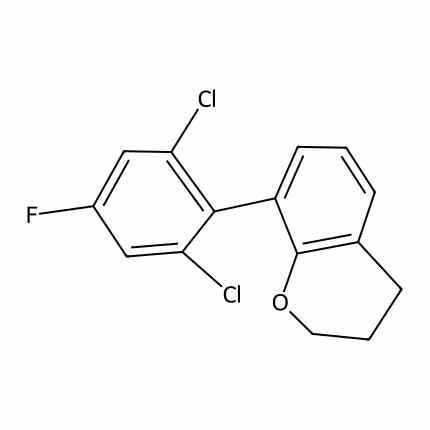 Fc1cc(Cl)c(-c2cccc3c2OCCC3)c(Cl)c1